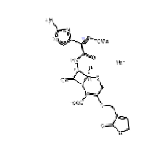 CO/N=C(\C(=O)N[C@@H]1C(=O)N2C(C(=O)[O-])=C(SCC3=CCOC3=O)CS[C@H]12)c1csc(N)n1.[Na+]